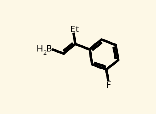 BC=C(CC)c1cccc(F)c1